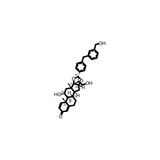 C[C@]12C=CC(=O)C=C1CC[C@H]1[C@@H]3C[C@H]4O[C@@H](c5ccc(Cc6cccc(CO)c6)cc5)O[C@@]4(C(=O)CO)[C@@]3(C)C[C@H](O)[C@@]12F